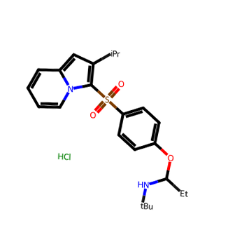 CCC(NC(C)(C)C)Oc1ccc(S(=O)(=O)c2c(C(C)C)cc3ccccn23)cc1.Cl